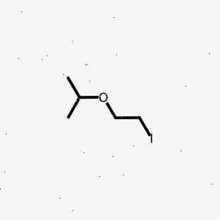 CC(C)OCCI